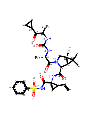 C=CC1C[C@]1(NC(=O)[C@@H]1C2[C@H](CN1C(=O)[C@@H](NC(=O)NC(C(=O)C1CC1)C(C)C)C(C)(C)C)C2(C)C)C(=O)NS(=O)(=O)c1ccccc1